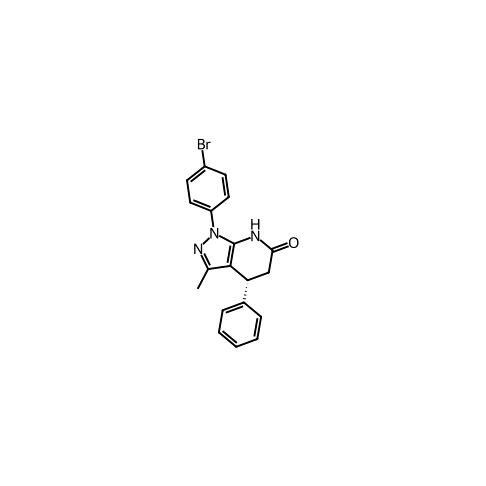 Cc1nn(-c2ccc(Br)cc2)c2c1[C@@H](c1ccccc1)CC(=O)N2